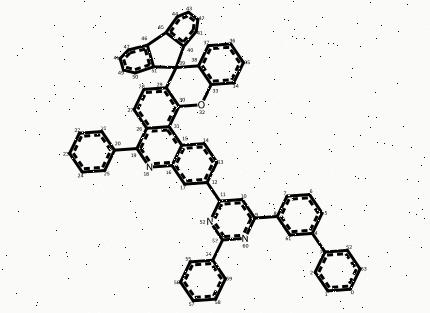 c1ccc(-c2cccc(-c3cc(-c4ccc5c(c4)nc(-c4ccccc4)c4ccc6c(c45)Oc4ccccc4C64c5ccccc5-c5ccccc54)nc(-c4ccccc4)n3)c2)cc1